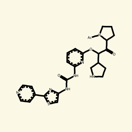 CC(=O)N1CCCC1C(=O)C(Oc1cccc(NC(=O)Nc2csc(-c3ccncc3)n2)n1)C1CCNC1